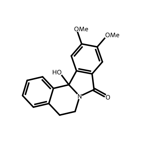 COc1cc2c(cc1OC)C1(O)c3ccccc3CCN1C2=O